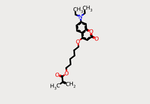 C=C(C)C(=O)OCCCCCCOc1cc(=O)oc2cc(N(CC)CC)ccc12